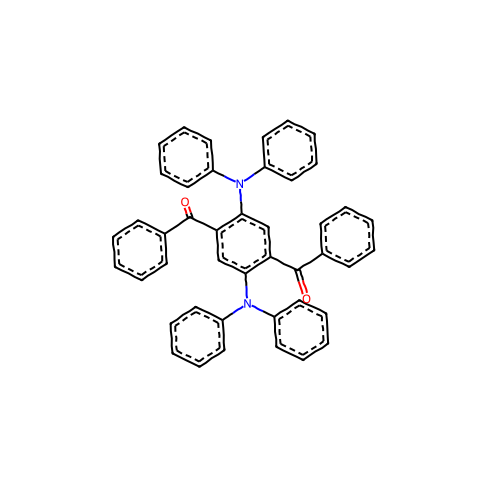 O=C(c1ccccc1)c1cc(N(c2ccccc2)c2ccccc2)c(C(=O)c2ccccc2)cc1N(c1ccccc1)c1ccccc1